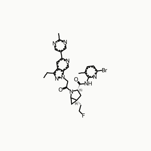 CCc1nn(CC(=O)N2C3C[C@]3(CCF)C[C@H]2C(=O)Nc2nc(Br)ccc2C)c2cnc(-c3cnc(C)nc3)cc12